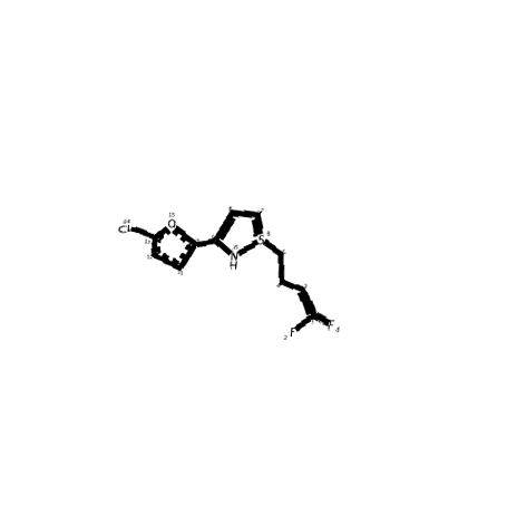 FC(F)=CCCS1=CC=C(c2ccc(Cl)o2)N1